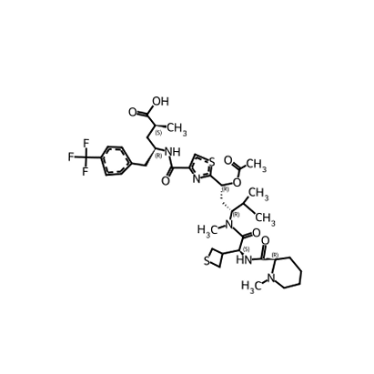 CC(=O)O[C@H](C[C@H](C(C)C)N(C)C(=O)[C@@H](NC(=O)[C@H]1CCCCN1C)C1CSC1)c1nc(C(=O)N[C@@H](Cc2ccc(C(F)(F)F)cc2)C[C@H](C)C(=O)O)cs1